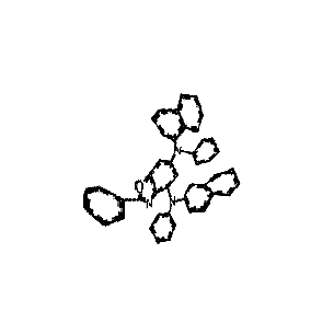 c1ccc(-c2nc3c(N(c4ccccc4)c4ccc5ccccc5c4)cc(N(c4ccccc4)c4cccc5ccccc45)cc3o2)cc1